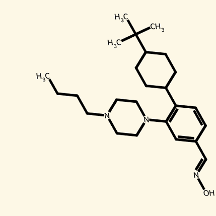 CCCCN1CCN(c2cc(C=NO)ccc2C2CCC(C(C)(C)C)CC2)CC1